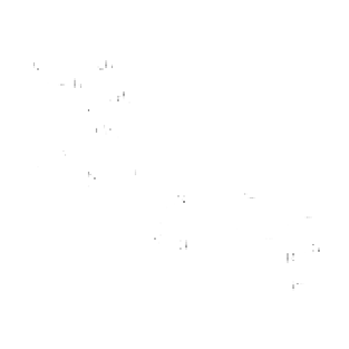 CC(C)n1ncc2ccc(-c3noc(C4CCN(C(=O)C5CC(=O)N(C)C5(C)C)CC4)n3)cc21